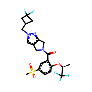 C[C@H](Oc1ccc(S(C)(=O)=O)cc1C(=O)N1Cc2cn(CC3CC(F)(F)C3)nc2C1)C(F)(F)F